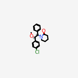 CO[C@@H](c1ccc(Cl)cc1)[C@@H](c1ccccc1)N1CCCCC1=O